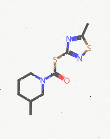 Cc1nc(SC(=O)N2CCCC(C)C2)ns1